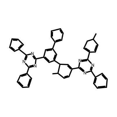 CC1C=CC(c2nc(C3=CC(c4cc(-c5ccccc5)cc(-c5nc(-c6ccccc6)nc(-c6ccccc6)n5)c4)C(C)C=C3)nc(-c3ccccc3)n2)=CC1